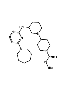 CC(C)(C)NC(=O)N1CCC(N2CCCC(Nc3nccc(N4CCCCCC4)n3)C2)CC1